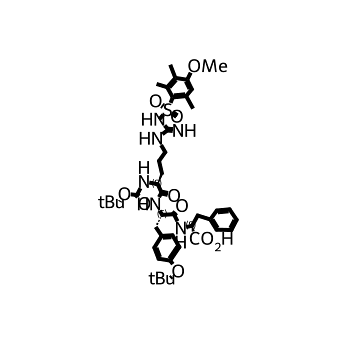 COc1cc(C)c(S(=O)(=O)NC(=N)NCCC[C@H](NC(=O)OC(C)(C)C)C(=O)N[C@@H](Cc2ccc(OC(C)(C)C)cc2)C(=O)N[C@@H](Cc2ccccc2)C(=O)O)c(C)c1C